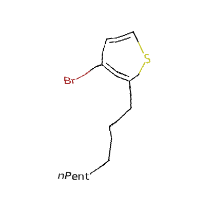 CCCCCCCCc1sccc1Br